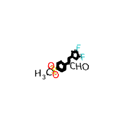 CS(=O)(=O)c1ccc(C(C=O)=CC2C[C@@H](F)[C@@H](F)C2)cc1